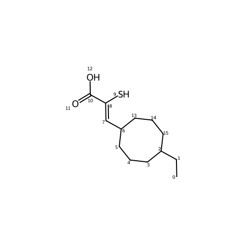 CCC1CCCC(/C=C(\S)C(=O)O)CCC1